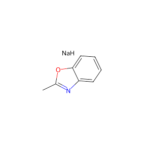 Cc1nc2ccccc2o1.[NaH]